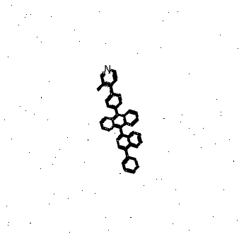 Cc1cnccc1C1=CC=C(C2=c3ccccc3=C(c3ccc(C4=CC=CCC4)c4ccccc34)C3C=CC=CC23)CC1